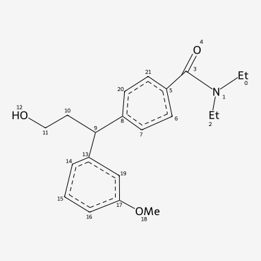 CCN(CC)C(=O)c1ccc(C(CCO)c2cccc(OC)c2)cc1